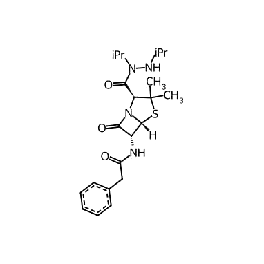 CC(C)NN(C(=O)[C@@H]1N2C(=O)[C@@H](NC(=O)Cc3ccccc3)[C@H]2SC1(C)C)C(C)C